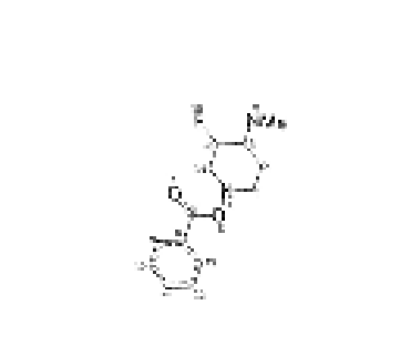 CNC1CCN(OC(=O)c2ccccc2)CC1F